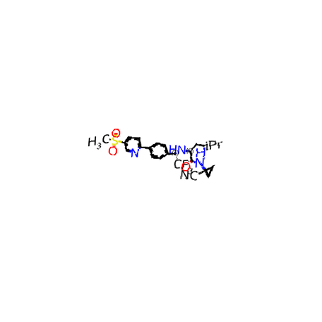 CC(C)C[C@H](N[C@@H](c1ccc(-c2ccc(S(C)(=O)=O)cn2)cc1)C(F)(F)F)C(=O)NC1(C#N)CC1